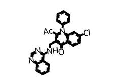 CC(=O)c1c(CNc2ncnc3ccccc23)c(=O)c2ccc(Cl)cc2n1-c1ccccc1